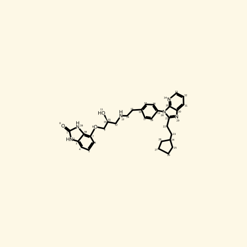 O=c1[nH]c2cccc(OC[C@@H](O)CNCCc3ccc(-n4c(CCC5CCCC5)nc5cccnc54)cc3)c2[nH]1